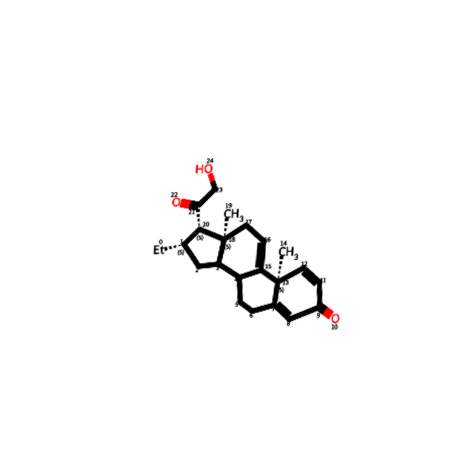 CC[C@H]1CC2C3CCC4=CC(=O)C=C[C@]4(C)C3=CC[C@]2(C)[C@H]1C(=O)CO